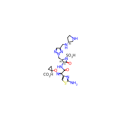 Nc1nc(/C(=N/OC2(C(=O)O)CC2)C(=O)N[C@@H]2C(=O)N(S(=O)(=O)O)[C@@H]2Cn2ncc(CN[C@@H]3CCNC3)n2)cs1